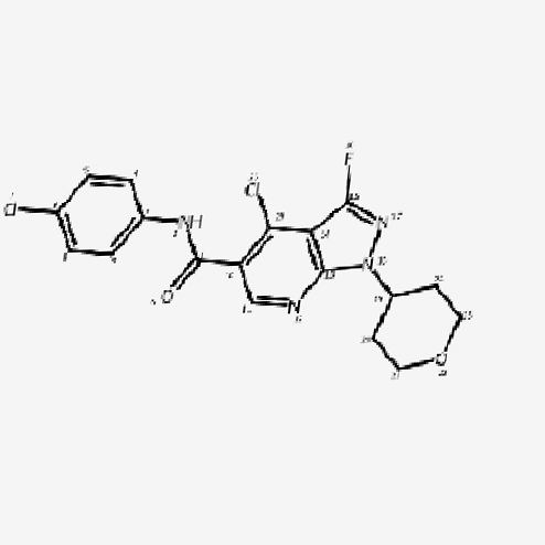 O=C(Nc1ccc(Cl)cc1)c1cnc2c(c(F)nn2C2CCOCC2)c1Cl